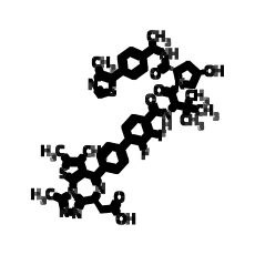 Cc1ncsc1-c1ccc(C(C)NC(=O)[C@@H]2C[C@@H](O)CN2C(=O)C(NC(=O)c2ccc(-c3ccc(C4=N[C@@H](CC(=O)O)c5nnc(C)n5-c5sc(C)c(C)c54)cc3)c(F)c2F)C(C)(C)C)cc1